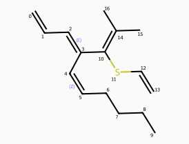 C=C/C=C(\C=C/CCCC)C(SC=C)=C(C)C